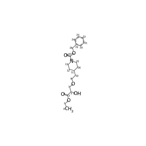 CCOC(=O)C(O)COCCC1CCN(C(=O)OCc2ccccc2)CC1